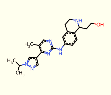 Cc1cnc(Nc2ccc3c(c2)CCNC3CCO)nc1-c1cnn(C(C)C)c1